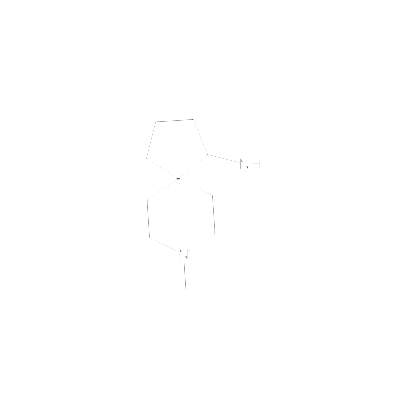 CN1CCC2(CCCC2N)CC1